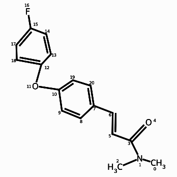 CN(C)C(=O)C=Cc1ccc(Oc2ccc(F)cc2)cc1